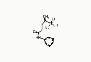 C=C(COC(=O)Nc1ccccc1)[N+](O)(CC)CC